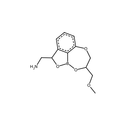 COCC1COc2cccc3c2B(O1)OC3CN